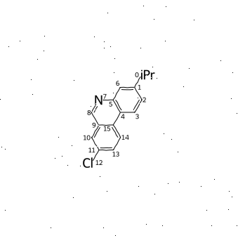 CC(C)c1ccc2c(c1)ncc1cc(Cl)ccc12